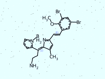 Bn1cccc1/C(CCN)=C1N=C(/C=C/c2cc(Br)cc(Br)c2OC)C=C\1C